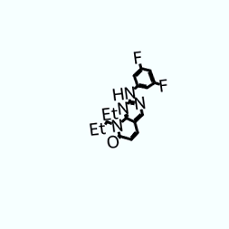 CCC(CC)n1c(=O)ccc2cnc(Nc3cc(F)cc(F)c3)nc21